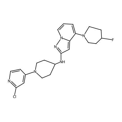 FC1CCN(c2cccn3nc(NC4CCN(c5ccnc(Cl)c5)CC4)cc23)CC1